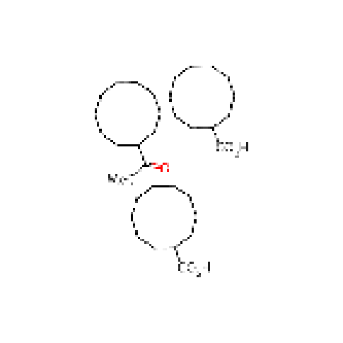 COC(=O)C1CCCCCCCCC1.O=C(O)C1CCCCCCCCC1.O=C(O)C1CCCCCCCCC1